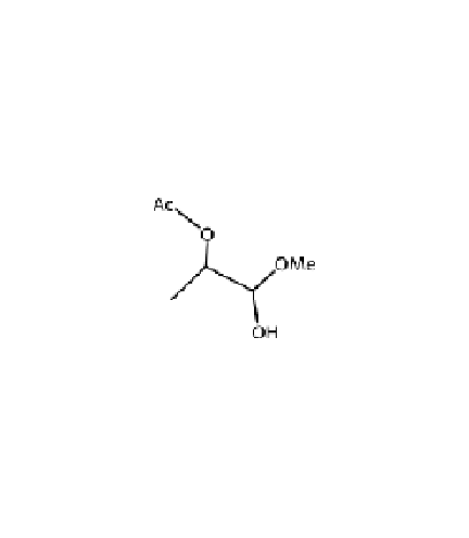 COC(O)C(C)OC(C)=O